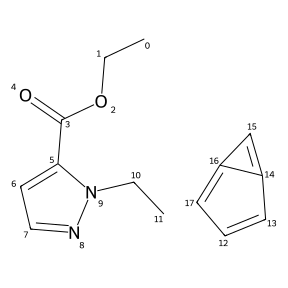 CCOC(=O)c1ccnn1CC.c1cc2cc-2c1